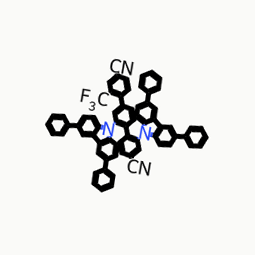 N#Cc1ccc(-c2ccc(-c3ccc(C#N)cc3C(F)(F)F)cc2-n2c3ccc(-c4ccccc4)cc3c3cc(-c4ccccc4)ccc32)c(-n2c3ccc(-c4ccccc4)cc3c3cc(-c4ccccc4)ccc32)c1